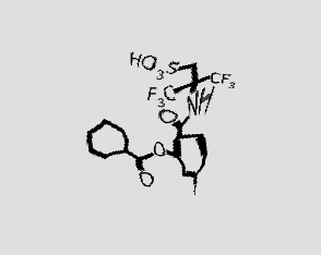 O=C(NC(CS(=O)(=O)O)(C(F)(F)F)C(F)(F)F)c1ccc(I)cc1OC(=O)C1CCCCC1